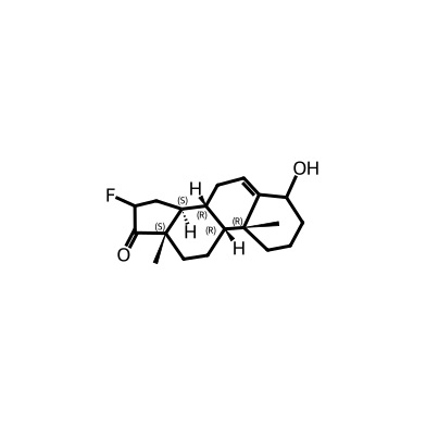 C[C@]12CCCC(O)C1=CC[C@@H]1[C@H]2CC[C@]2(C)C(=O)C(F)C[C@@H]12